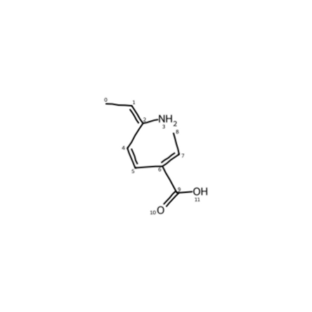 C\C=C(N)/C=C\C(=C/C)C(=O)O